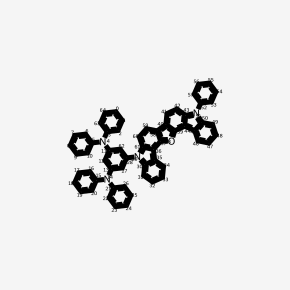 c1ccc(N(c2ccccc2)c2cc(N(c3ccccc3)c3ccccc3)cc(-n3c4ccccc4c4c5oc6c(ccc7c6c6ccccc6n7-c6ccccc6)c5ccc43)c2)cc1